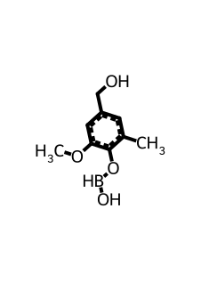 COc1cc(CO)cc(C)c1OBO